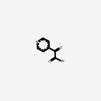 CC(C)C(=O)C(=O)c1ccncc1